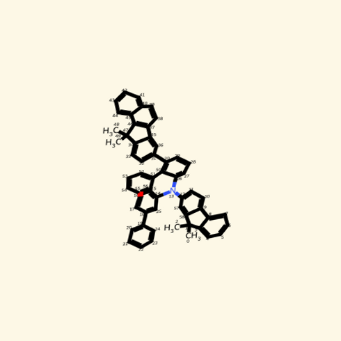 CC1(C)c2ccccc2-c2ccc(N(c3cccc(-c4ccccc4)c3)c3cccc(-c4ccc5c(c4)-c4ccc6ccccc6c4C5(C)C)c3-c3ccccc3)cc21